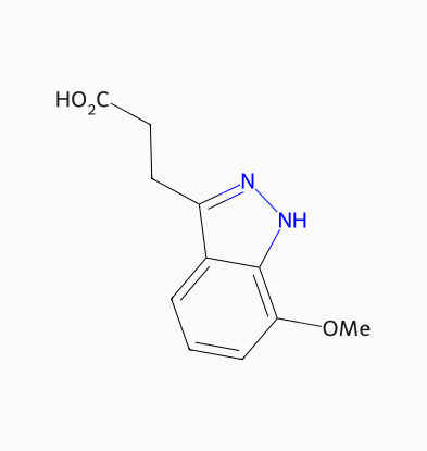 COc1cccc2c(CCC(=O)O)n[nH]c12